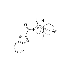 O=C(c1cc2ccccc2s1)N1C[C@@H]2C[N@@]3CC[C@@H]2[C@@H]1C3